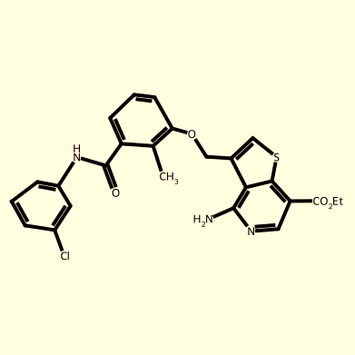 CCOC(=O)c1cnc(N)c2c(COc3cccc(C(=O)Nc4cccc(Cl)c4)c3C)csc12